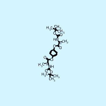 C[C@H](NC(=O)OC(C)(C)C)C(=O)Oc1ccc(OC(=O)[C@H](C)NC(=O)OC(C)(C)C)cc1